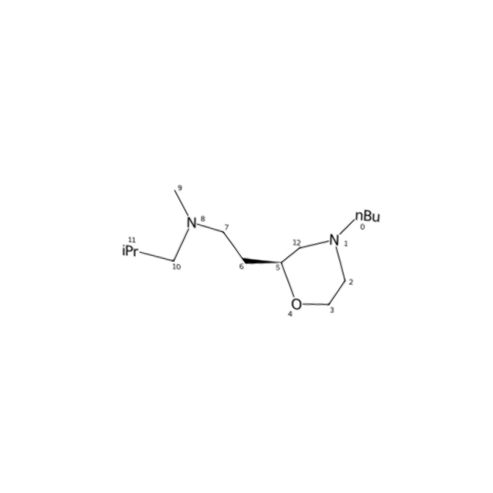 CCCCN1CCO[C@@H](CCN(C)CC(C)C)C1